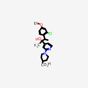 CCOc1ccc(C(C)C(O)(c2ccnc(N3CCC(C(=O)O)CC3)c2)C(F)(F)F)c(Cl)c1